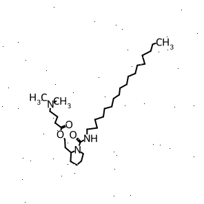 CCCCCCCCCCCCCCCCCCNC(=O)N1CCCCC1CCOC(=O)CCCN(C)C